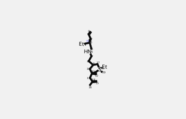 C=C/C=C(\CC)CNCCC(CC(=C)CC(=C)C)CS(C)(C)CC